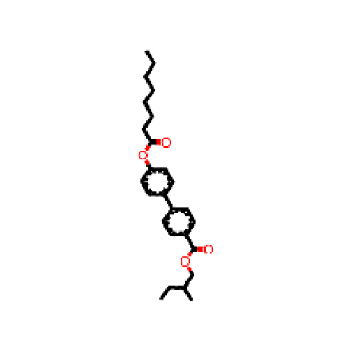 CCCCCCCC(=O)Oc1ccc(-c2ccc(C(=O)OCC(C)CC)cc2)cc1